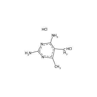 Cc1nc(N)nc(N)c1C.Cl.Cl